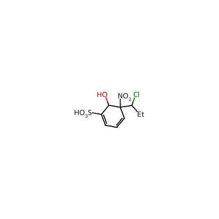 CCC(Cl)C1([N+](=O)[O-])C=CC=C(S(=O)(=O)O)C1O